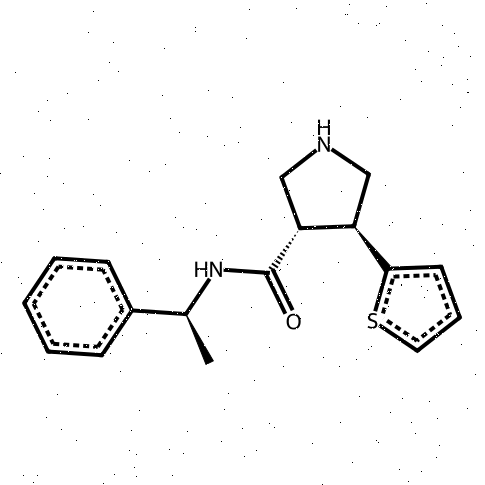 C[C@H](NC(=O)[C@@H]1CNC[C@H]1c1cccs1)c1ccccc1